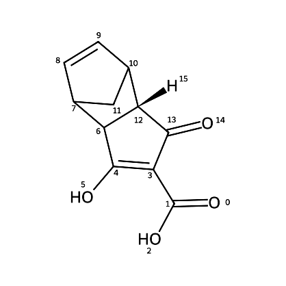 O=C(O)C1=C(O)C2C3C=CC(C3)[C@@H]2C1=O